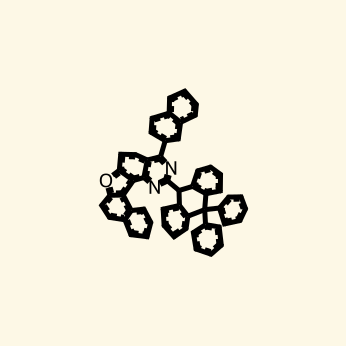 c1ccc(C2(c3ccccc3)c3ccccc3C(c3nc(-c4ccc5ccccc5c4)c4ccc5oc6ccc7ccccc7c6c5c4n3)c3ccccc32)cc1